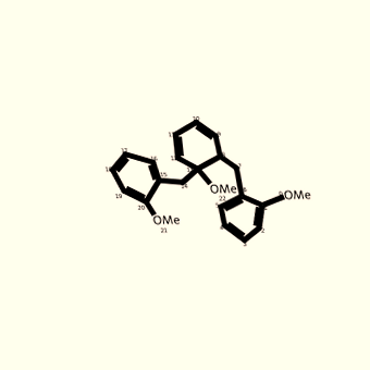 COc1ccccc1CC1C=CC=CC1(Cc1ccccc1OC)OC